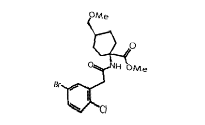 COC[C@H]1CC[C@](NC(=O)Cc2cc(Br)ccc2Cl)(C(=O)OC)CC1